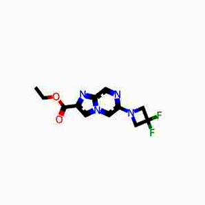 CCOC(=O)c1cn2cc(N3CC(F)(F)C3)ncc2n1